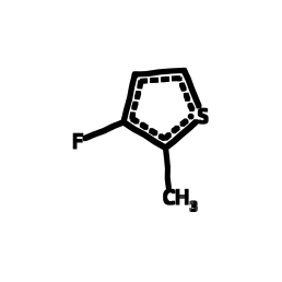 Cc1sccc1F